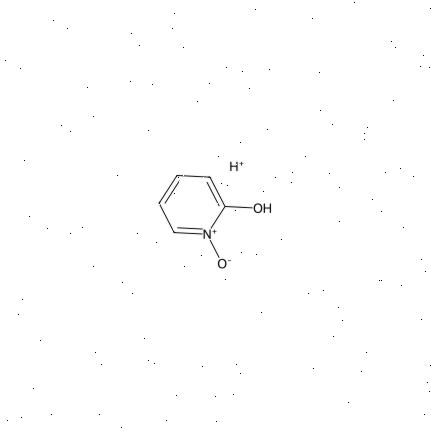 [H+].[O-][n+]1ccccc1O